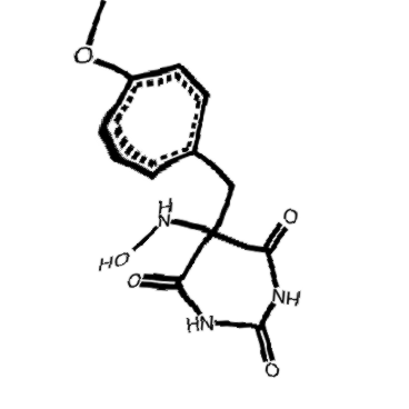 COc1ccc(CC2(NO)C(=O)NC(=O)NC2=O)cc1